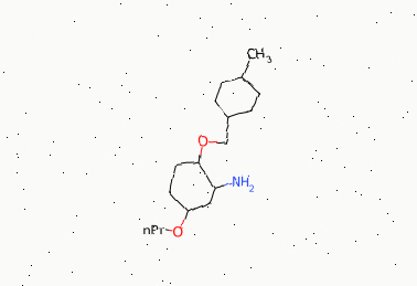 CCCOC1CCC(OCC2CCC(C)CC2)C(N)C1